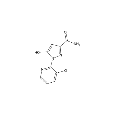 NC(=O)c1cc(O)n(-c2ncccc2Cl)n1